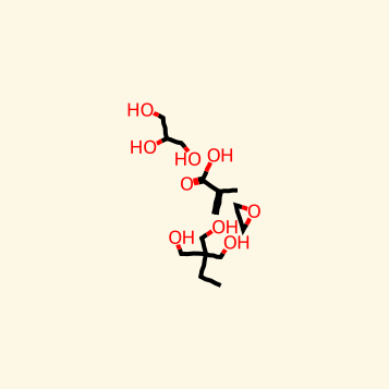 C1CO1.C=C(C)C(=O)O.CCC(CO)(CO)CO.OCC(O)CO